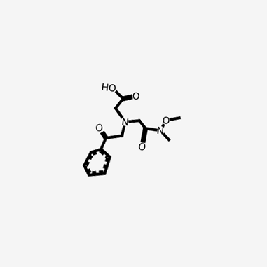 CON(C)C(=O)CN(CC(=O)O)CC(=O)c1ccccc1